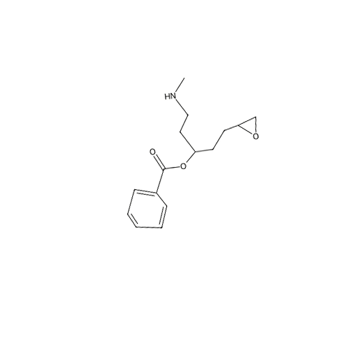 CNCCC(CCC1CO1)OC(=O)c1ccccc1